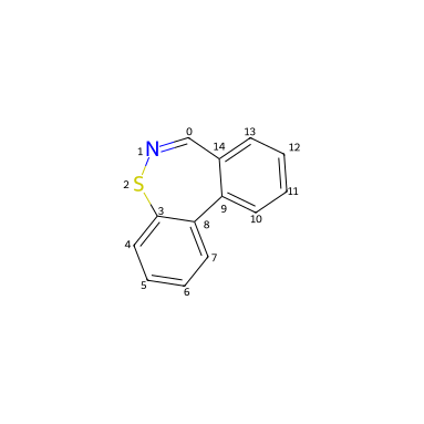 C1=NSc2ccccc2-c2ccccc21